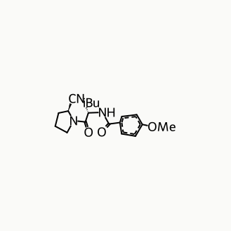 CCC(C)[C@H](NC(=O)c1ccc(OC)cc1)C(=O)N1CCC[C@H]1C#N